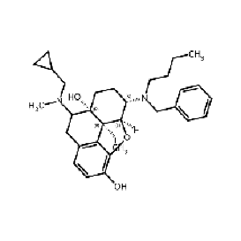 CCCCN(Cc1ccccc1)[C@H]1CC[C@]2(O)C(N(C)CC3CC3)Cc3ccc(O)c4c3[C@]2(CC)[C@@H]1O4